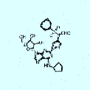 O=CN(c1cnn(-c2nc(NC3CCCC3)c3ncn([C@@H]4O[C@H](CO)C(O)C4O)c3n2)c1)S(=O)(=O)c1ccccc1